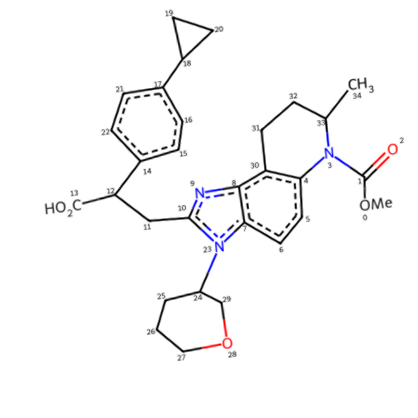 COC(=O)N1c2ccc3c(nc(CC(C(=O)O)c4ccc(C5CC5)cc4)n3C3CCCOC3)c2CCC1C